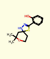 CC1(C)CC2(CCO1)NN=C(c1ccccc1O)S2